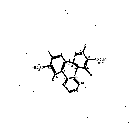 Cc1cc(C)c(-c2ccccc2-c2c(C)cc(C)c(C(=O)O)c2C)c(C)c1C(=O)O